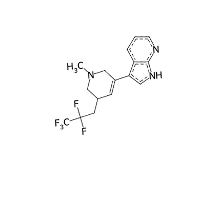 CN1CC(c2c[nH]c3ncccc23)=CC(CC(F)(F)C(F)(F)F)C1